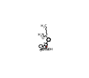 CCCCCCN(C(N)=O)c1cccc(-c2ccc([C@@]3(CC(=O)NO)CCCCS3(=O)=O)s2)c1